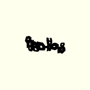 O=C1O[C@]2(CC[C@H](c3nc4cc(-n5ncccc5=O)ccc4[nH]3)CC2)CN1c1ccccc1F